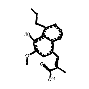 CCCc1cccc2c(C=C(C)C(=O)O)cc(OC)c(O)c12